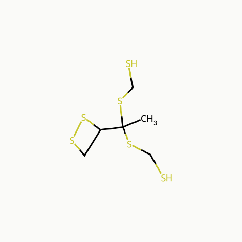 CC(SCS)(SCS)C1CSS1